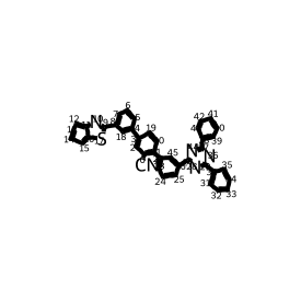 N#Cc1cc(-c2cccc(-c3nc4ccccc4s3)c2)ccc1-c1cccc(-c2nc(-c3ccccc3)nc(-c3ccccc3)n2)c1